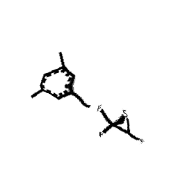 Cc1cc(C)cc(C)c1.FC1SC1(F)F